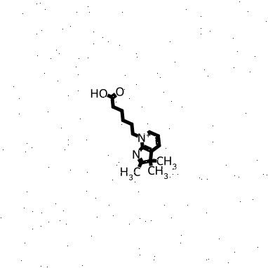 CC1=Nc2c(ccc[n+]2CCCCCC(=O)O)C1(C)C